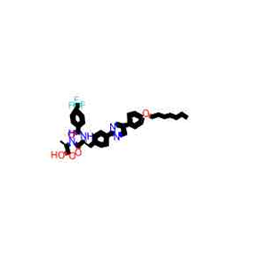 CCCCCCCOc1ccc(-c2cnc(-c3ccc(C[C@H](NC(=O)c4ccc(C(F)(F)F)cc4)C(=O)N[C@H](C)C(=O)O)cc3)nc2)cc1